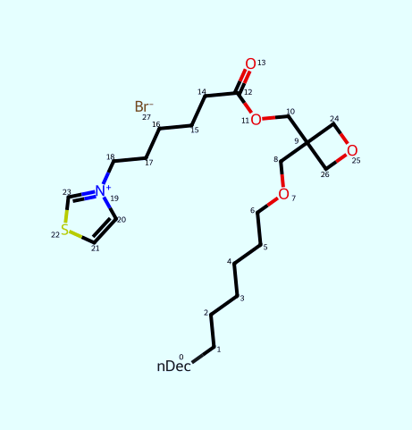 CCCCCCCCCCCCCCCCOCC1(COC(=O)CCCCC[n+]2ccsc2)COC1.[Br-]